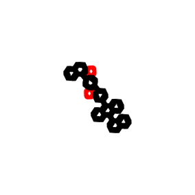 c1ccc2c(-c3c4ccccc4c(-c4ccc5c(c4)oc4cc6c(cc45)oc4ccc5ccccc5c46)c4ccccc34)cccc2c1